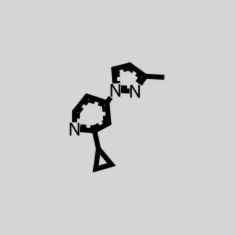 Cc1ccn(-c2ccnc(C3CC3)c2)n1